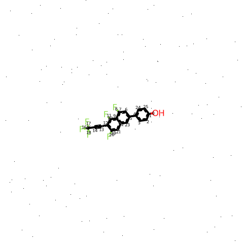 Oc1ccc(-c2cc(F)c3c(F)c(C#CC(F)(F)F)c(F)cc3c2)cc1